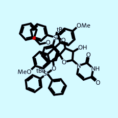 COc1ccc(C(OCc2ccccc2)(c2ccc(OC)cc2)C2(CO[Si](c3ccccc3)(c3ccccc3)C(C)(C)C)OC(n3ccc(=O)[nH]c3=O)C(O)C2O[Si](c2ccccc2)(c2ccccc2)C(C)(C)C)cc1